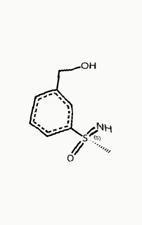 C[S@](=N)(=O)c1cccc(CO)c1